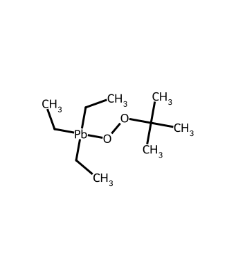 C[CH2][Pb]([CH2]C)([CH2]C)[O]OC(C)(C)C